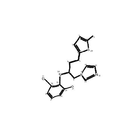 Cc1ccc(CCC(Cn2ccnc2)Sc2c(Cl)cccc2Cl)s1